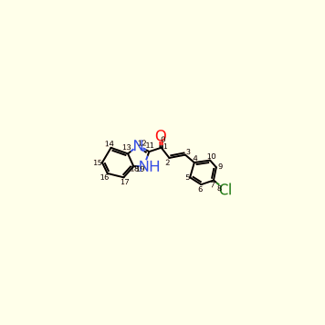 O=C(/C=C/c1ccc(Cl)cc1)c1nc2ccccc2[nH]1